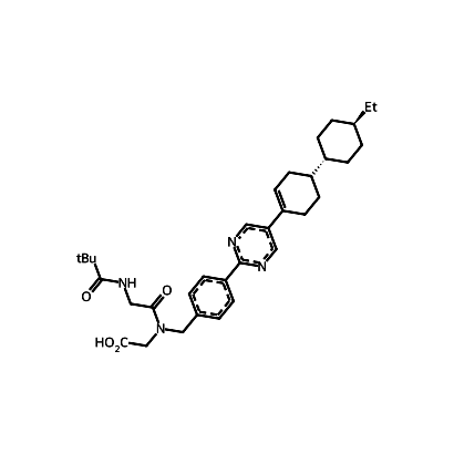 CC[C@H]1CC[C@H](C2CC=C(c3cnc(-c4ccc(CN(CC(=O)O)C(=O)CNC(=O)C(C)(C)C)cc4)nc3)CC2)CC1